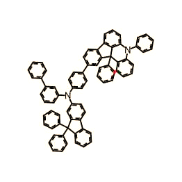 c1ccc(-c2cccc(N(c3ccc(-c4ccc5c(c4)C4(c6ccccc6)c6ccccc6N(c6ccccc6)c6cccc-5c64)cc3)c3ccc4c(c3)C(c3ccccc3)(c3ccccc3)c3ccccc3-4)c2)cc1